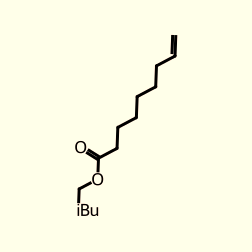 C=CCCCCCCC(=O)OCC(C)CC